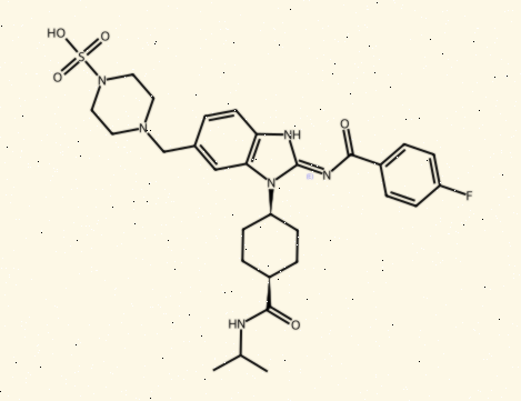 CC(C)NC(=O)[C@H]1CC[C@@H](n2/c(=N/C(=O)c3ccc(F)cc3)[nH]c3ccc(CN4CCN(S(=O)(=O)O)CC4)cc32)CC1